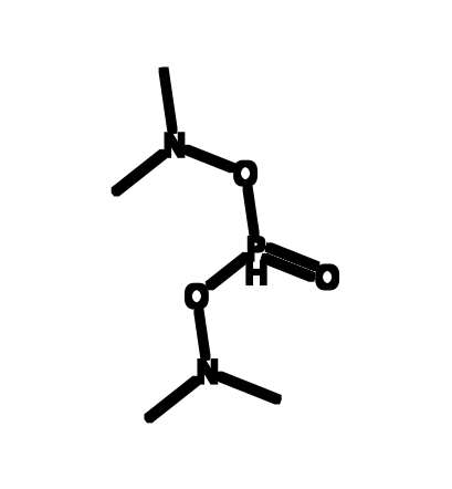 CN(C)O[PH](=O)ON(C)C